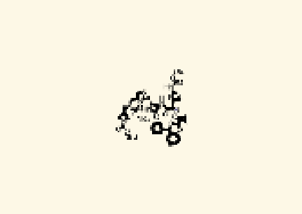 CC(C)(C)OC(=O)Nc1nc(/C(=N/OC2(C(=O)OC(c3ccccc3)c3ccccc3)CC2)C(=O)N[C@@H]2C(=O)N[C@@H]2Cn2ncc(CN(CC3CN(C(=O)OC(C)(C)C)C3)C(=O)OC(C)(C)C)n2)cs1